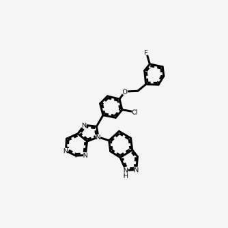 Fc1cccc(COc2ccc(-c3nc4cn[c]nc4n3-c3ccc4cn[nH]c4c3)cc2Cl)c1